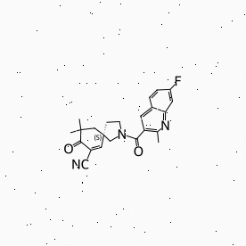 Cc1nc2cc(F)ccc2cc1C(=O)N1CC[C@@]2(C=C(C#N)C(=O)C(C)(C)C2)C1